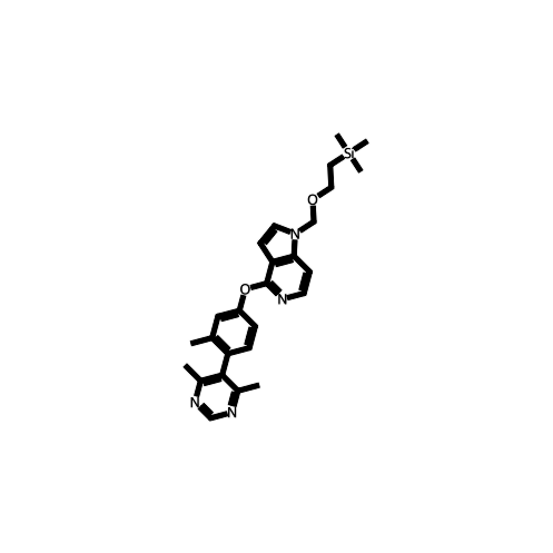 Cc1cc(Oc2nccc3c2ccn3COCC[Si](C)(C)C)ccc1-c1c(C)ncnc1C